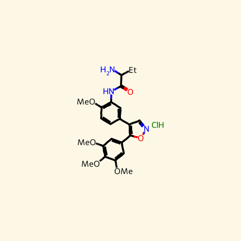 CCC(N)C(=O)Nc1cc(-c2cnoc2-c2cc(OC)c(OC)c(OC)c2)ccc1OC.Cl